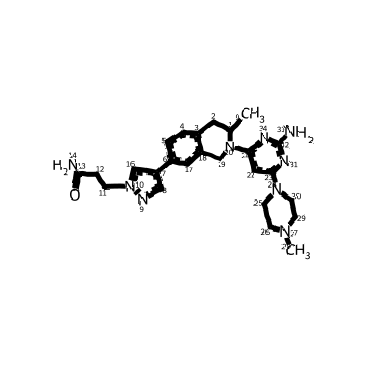 CC1Cc2ccc(-c3cnn(CCC(N)=O)c3)cc2CN1c1cc(N2CCN(C)CC2)nc(N)n1